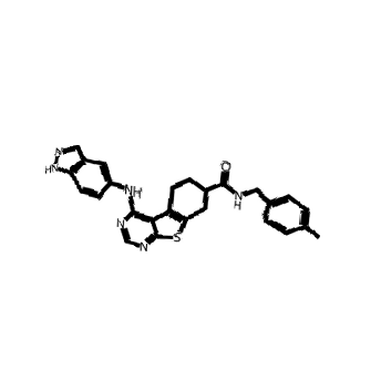 Cc1ccc(CNC(=O)C2CCc3c(sc4ncnc(Nc5ccc6[nH]ncc6c5)c34)C2)cc1